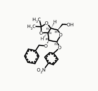 CC1(C)O[C@H]2[C@@H](O1)[C@@H](CO)O[C@@H](Oc1ccc([N+](=O)[O-])cc1)[C@@H]2OCc1ccccc1